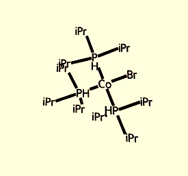 CC(C)[PH](C(C)C)(C(C)C)[Co]([Br])([PH](C(C)C)(C(C)C)C(C)C)[PH](C(C)C)(C(C)C)C(C)C